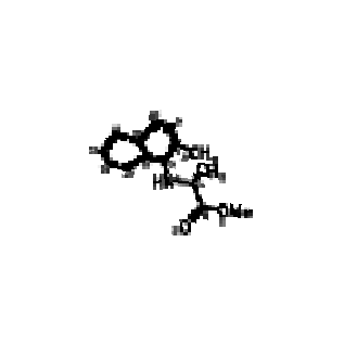 COC(=O)C(C)Nc1c(C)ccc2ccccc12